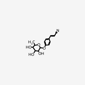 CC1OC(Oc2ccc(/C=C/C#N)cc2)C(O)C(O)C1O